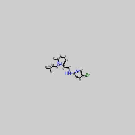 Cc1cccc(/C=C/Nc2ccc(Br)cn2)[n+]1CCC(C)C